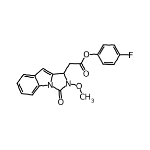 CON1C(=O)n2c(cc3ccccc32)C1CC(=O)Oc1ccc(F)cc1